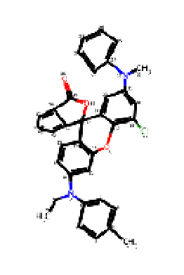 CCN(c1ccc(C)cc1)c1ccc2c(c1)Oc1c(Cl)cc(N(C)c3ccccc3)cc1C21OC(=O)c2ccccc21